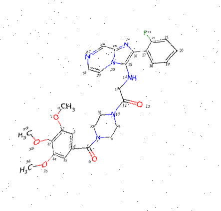 COc1cc(C(=O)N2CCN(C(=O)CNc3c(-c4ccccc4F)nc4cnccn34)CC2)cc(OC)c1OC